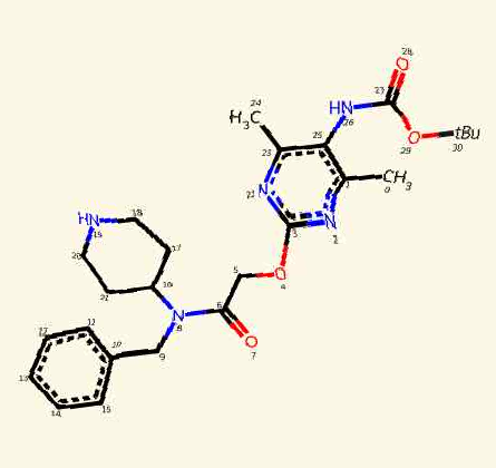 Cc1nc(OCC(=O)N(Cc2ccccc2)C2CCNCC2)nc(C)c1NC(=O)OC(C)(C)C